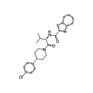 CC(C)[C@@H](NC(=O)c1nc2ccccc2s1)C(=O)N1CCC(c2ccc(Cl)cc2)CC1